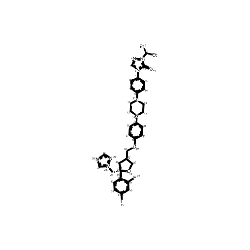 CCC(CC)n1ncn(-c2ccc(N3CCN(c4ccc(OCC5CO[C@@](Cn6cncn6)(c6ccc(F)cc6F)C5)cc4)CC3)cc2)c1=O